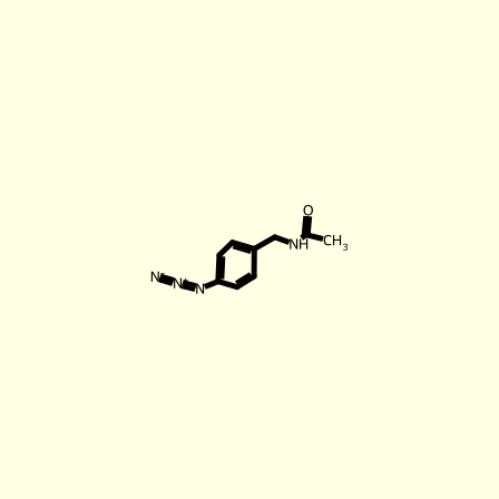 CC(=O)NCc1ccc(N=[N+]=[N-])cc1